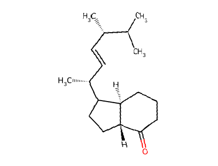 CC(C)[C@@H](C)/C=C/[C@@H](C)C1CC[C@H]2C(=O)CCC[C@H]12